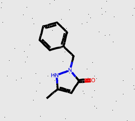 Cc1cc(=O)n(Cc2ccccc2)[nH]1